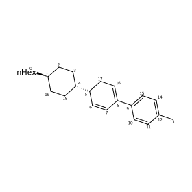 CCCCCC[C@H]1CC[C@H](C2C=CC(c3ccc(C)cc3)=CC2)CC1